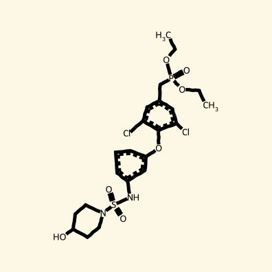 CCOP(=O)(Cc1cc(Cl)c(Oc2cccc(NS(=O)(=O)N3CCC(O)CC3)c2)c(Cl)c1)OCC